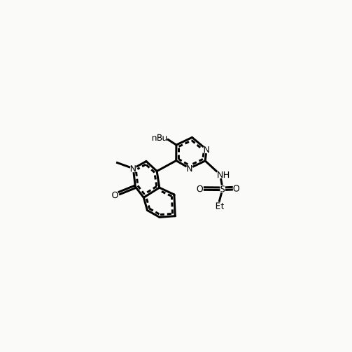 CCCCc1cnc(NS(=O)(=O)CC)nc1-c1cn(C)c(=O)c2ccccc12